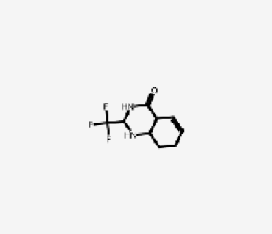 O=C1NC(C(F)(F)F)NC2CCC=CC12